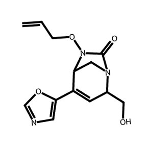 C=CCON1C(=O)N2CC1C(c1cnco1)=CC2CO